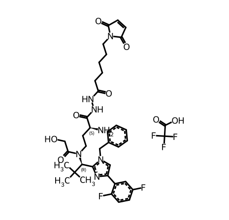 CC(C)(C)[C@H](c1nc(-c2cc(F)ccc2F)cn1Cc1ccccc1)N(CC[C@H](N)C(=O)NNC(=O)CCCCCN1C(=O)C=CC1=O)C(=O)CO.O=C(O)C(F)(F)F